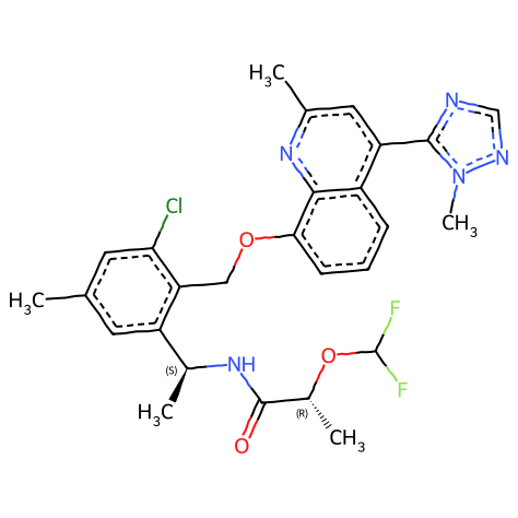 Cc1cc(Cl)c(COc2cccc3c(-c4ncnn4C)cc(C)nc23)c([C@H](C)NC(=O)[C@@H](C)OC(F)F)c1